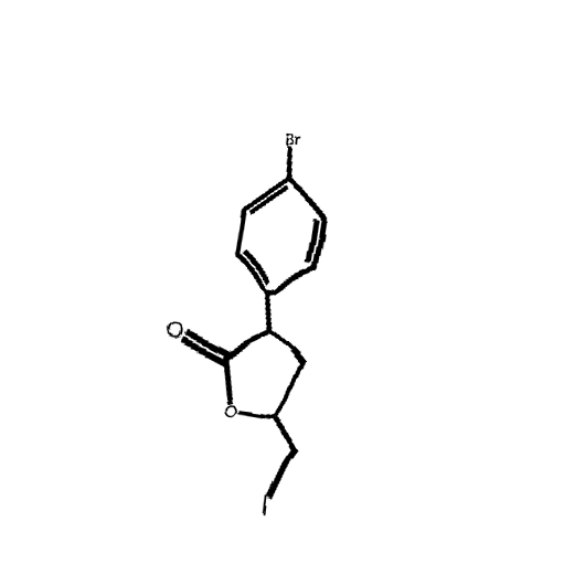 O=C1OC(CI)CC1c1ccc(Br)cc1